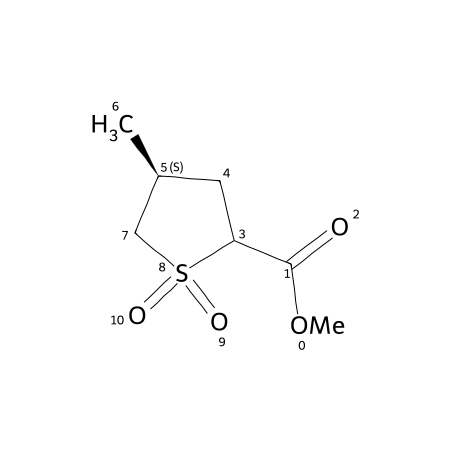 COC(=O)C1C[C@H](C)CS1(=O)=O